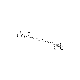 O=C(CCCCCCCCCCCC[Si](Cl)(Cl)Cl)OCC(F)(F)F